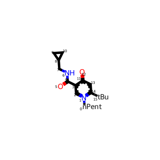 CCCCCn1cc(C(=O)NCC2CC2)c(=O)cc1C(C)(C)C